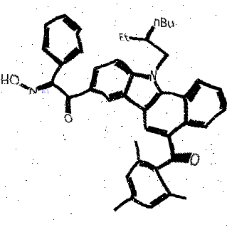 CCCCC(CC)Cn1c2ccc(C(=O)/C(=N/O)c3ccccc3)cc2c2cc(C(=O)c3c(C)cc(C)cc3C)c3ccccc3c21